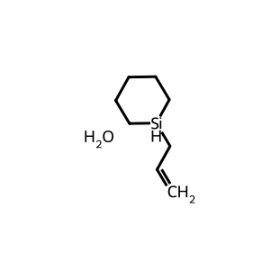 C=CC[SiH]1CCCCC1.O